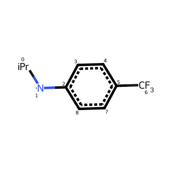 CC(C)[N]c1ccc(C(F)(F)F)cc1